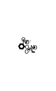 CCN(N=O)C(=O)Oc1ccccc1[N+](=O)[O-]